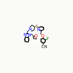 N#Cc1ccc(OCc2cccc(SC3CCN(Cc4nc5ccccc5n4C[C@@H]4CCO4)CC3)n2)c(F)c1